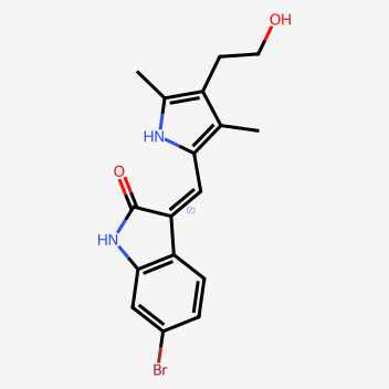 Cc1[nH]c(/C=C2\C(=O)Nc3cc(Br)ccc32)c(C)c1CCO